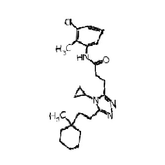 Cc1c(Cl)cccc1NC(=O)CCc1nnc(CCC2(C)CCCCC2)n1C1CC1